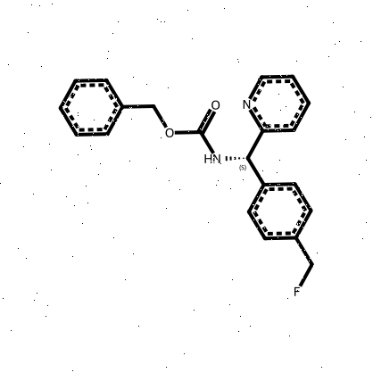 O=C(N[C@@H](c1ccc(CF)cc1)c1ccccn1)OCc1ccccc1